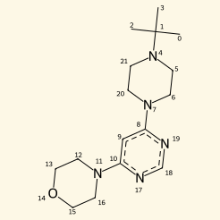 CC(C)(C)N1CCN(c2cc(N3CCOCC3)ncn2)CC1